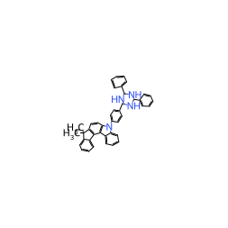 CC1(C)c2ccccc2-c2c1ccc1c2c2ccccc2n1-c1ccc(C2NC(c3ccccc3)NC(c3ccccc3)N2)cc1